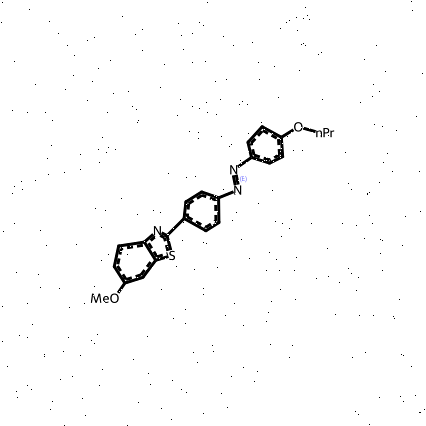 CCCOc1ccc(/N=N/c2ccc(-c3nc4ccc(OC)cc4s3)cc2)cc1